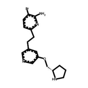 Nc1nc(CCc2cncc(OC[C@@H]3CCCN3)c2)ccc1Br